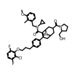 COc1cccc(CN(C(=O)C2=C(c3ccc(CCCOc4c(F)ccc(F)c4Cl)cc3)CC3CC(C(=O)N4CCCC4CO)CC2N3)C2CC2)c1C